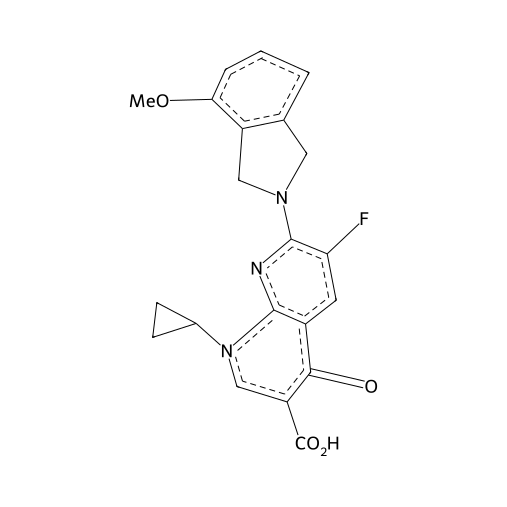 COc1cccc2c1CN(c1nc3c(cc1F)c(=O)c(C(=O)O)cn3C1CC1)C2